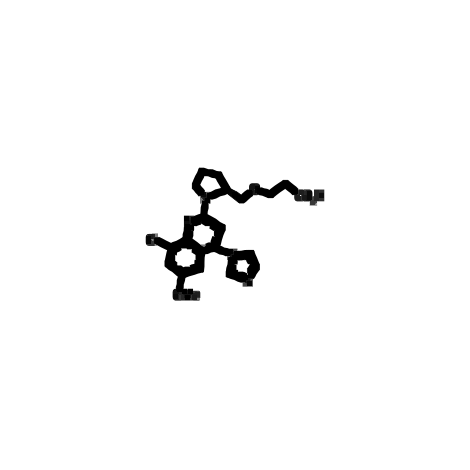 COc1cc(Cl)c2nc(N3CCC[C@H]3COCCC(=O)O)cc(-n3ccnc3)c2c1